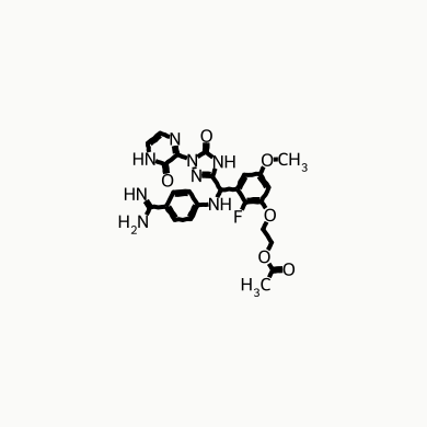 COc1cc(OCCOC(C)=O)c(F)c(C(Nc2ccc(C(=N)N)cc2)c2nn(-c3ncc[nH]c3=O)c(=O)[nH]2)c1